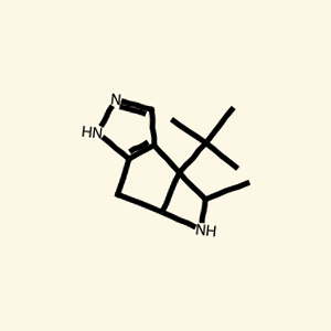 CC1NC2Cc3[nH]ncc3C12C(C)(C)C